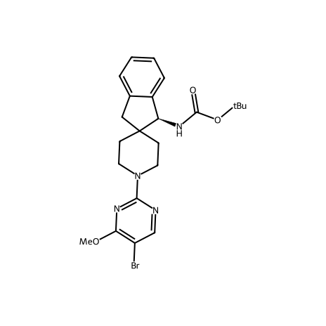 COc1nc(N2CCC3(CC2)Cc2ccccc2[C@H]3NC(=O)OC(C)(C)C)ncc1Br